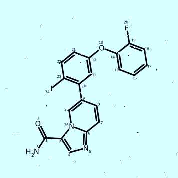 NC(=O)c1cnc2ccc(-c3cc(Oc4ccccc4F)ccc3I)cn12